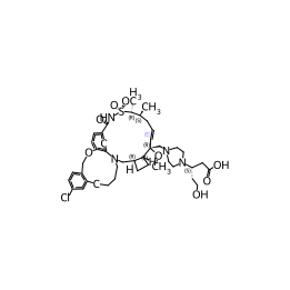 CO[C@@]1(CN2CCN([C@@H](CCO)CC(=O)O)CC2)/C=C/C[C@H](C)[C@@H](C)S(=O)(=O)NC(=O)c2ccc3c(c2)N(CCCCc2cc(Cl)ccc2CO3)C[C@@H]2CC[C@H]21